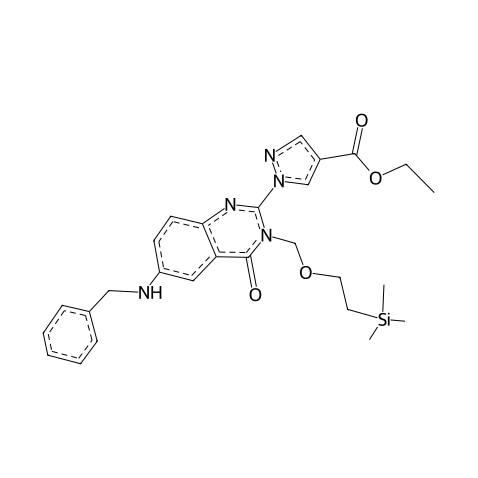 CCOC(=O)c1cnn(-c2nc3ccc(NCc4ccccc4)cc3c(=O)n2COCC[Si](C)(C)C)c1